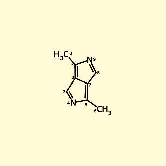 CC1=C2C=NC(C)=C2C=N1